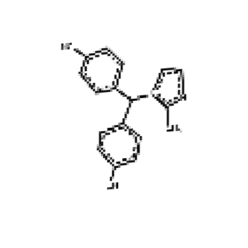 Cc1nccn1C(c1ccc(C#N)cc1)c1ccc(C#N)cc1